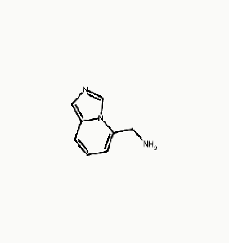 NCc1cccc2cncn12